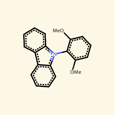 COc1cccc(OC)c1-n1c2ccccc2c2ccccc21